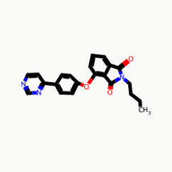 CCCCN1C(=O)c2cccc(Oc3ccc(-c4ccncn4)cc3)c2C1=O